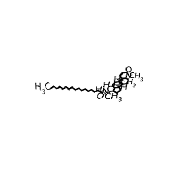 CCCCCCCCCCCCCCCCCC(=O)NC(C)[C@H]1CC[C@H]2[C@@H]3CCC4N(C)C(=O)C=C[C@]4(C)[C@H]3CC[C@]12C